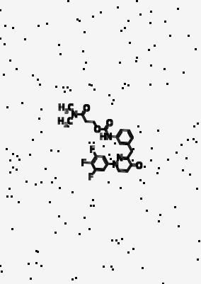 CN(C)C(=O)CCOC(=O)Nc1cccc(Cc2nn(-c3cc(F)c(F)c(F)c3)ccc2=O)c1